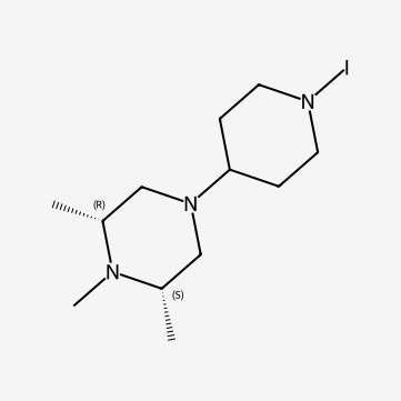 C[C@@H]1CN(C2CCN(I)CC2)C[C@H](C)N1C